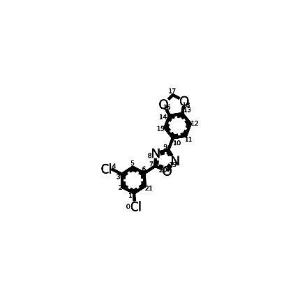 Clc1cc(Cl)cc(-c2nc(-c3ccc4c(c3)OCO4)no2)c1